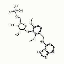 COc1ccc(CNc2ncnc3nc[nH]c23)c(OC)c1OC1O[C@H](COP(=O)(O)O)[C@@H](O)[C@H]1O